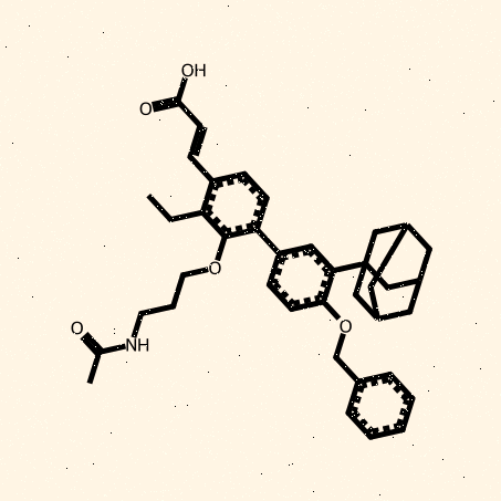 CCc1c(C=CC(=O)O)ccc(-c2ccc(OCc3ccccc3)c(C34CC5CC(CC(C5)C3)C4)c2)c1OCCCNC(C)=O